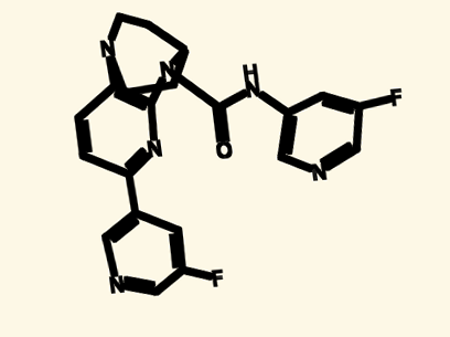 O=C(Nc1cncc(F)c1)N1c2nc(-c3cncc(F)c3)ccc2N2CCC1CC2